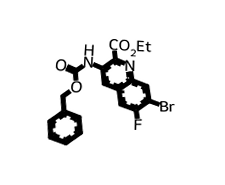 CCOC(=O)c1nc2cc(Br)c(F)cc2cc1NC(=O)OCc1ccccc1